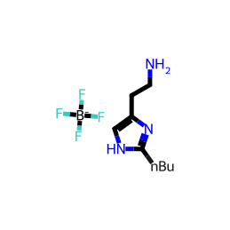 CCCCc1nc(CCN)c[nH]1.F[B-](F)(F)F